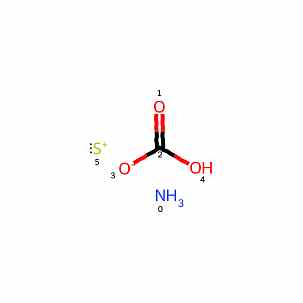 N.O=C([O-])O.[S+]